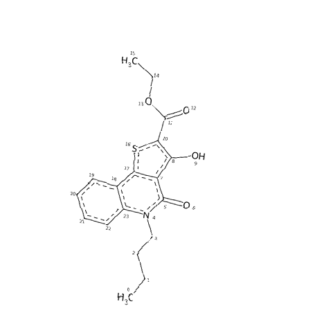 CCCCn1c(=O)c2c(O)c(C(=O)OCC)sc2c2ccccc21